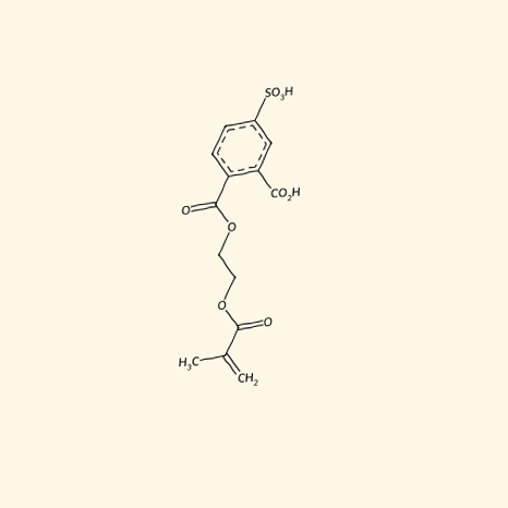 C=C(C)C(=O)OCCOC(=O)c1ccc(S(=O)(=O)O)cc1C(=O)O